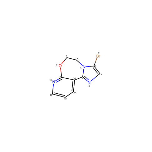 Brc1cnc2n1CCOc1ncccc1-2